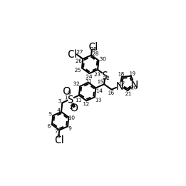 O=S(=O)(Cc1ccc(Cl)cc1)c1ccc(C(Cn2ccnc2)Sc2ccc(Cl)c(Cl)c2)cc1